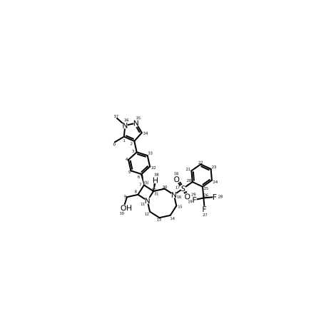 Cc1c(-c2ccc([C@@H]3C(CO)N4CCCCN(S(=O)(=O)c5ccccc5C(F)(F)F)C[C@@H]34)cc2)cnn1C